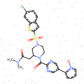 CN(C)C(=O)CC1CN(S(=O)(=O)c2cc3ccc(Cl)cc3s2)CCN1C(=O)c1ncc(-c2cccc[n+]2[O-])cn1